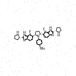 CC(C)(C)c1ccc(N2[C@@H](c3ccc4nc([C@@H]5CCCN5)[nH]c4c3F)CC[C@H]2c2ccc3nc([C@@H]4CCCN4)[nH]c3c2F)cc1